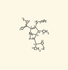 CCCSC1=C(C(=O)OI)N2CC(C(C)OI)C2C1C